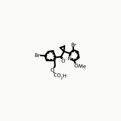 COc1ccc(Br)c(C2(C(=O)c3ccc(Br)cc3COC(=O)O)CC2)n1